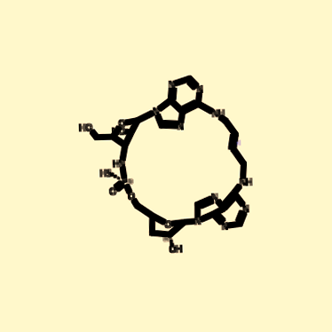 O=[P@@]1(S)NC2C(CO)OC(C2O)n2cnc3c(ncnc32)NC/C=C/CNc2ncnc3c2ncn3C2OC(CO1)C[C@H]2O